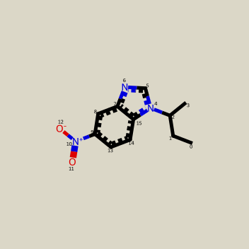 CCC(C)n1cnc2cc([N+](=O)[O-])ccc21